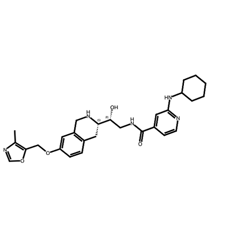 Cc1ncoc1COc1ccc2c(c1)CN[C@H]([C@H](O)CNC(=O)c1ccnc(NC3CCCCC3)c1)C2